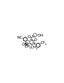 CC1=C(C#N)C(c2ccc(C#N)cc2S(C)(=O)=O)N(C(=O)N2CCC(O)C2)C(=O)N1c1cccc(C(F)(F)F)c1